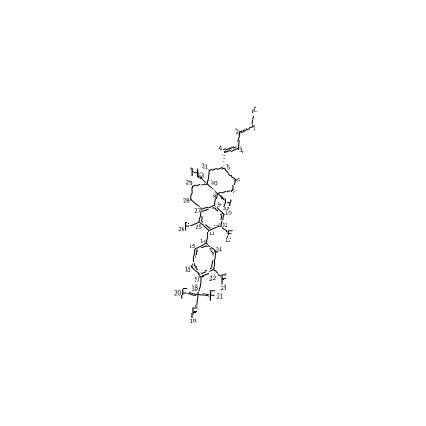 CCC/C=C/[C@@H]1CC[C@@H]2c3cc(F)c(-c4ccc(C(F)(F)F)c(F)c4)c(F)c3CC[C@@H]2C1